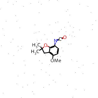 COc1ccc(N=C=O)c2c1CC(C)(C)O2